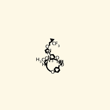 CC1(C)C[C@H]2CCCOc3ccc(cc3)S(=O)(=O)NC(=O)c3ccc(-n4ccc(OCCC5(C(F)(F)F)CC5)n4)nc3N1C2